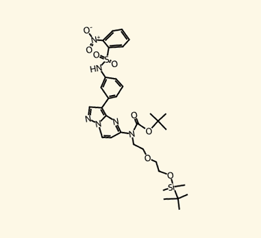 CC(C)(C)OC(=O)N(CCOCCO[Si](C)(C)C(C)(C)C)c1ccn2ncc(-c3cccc(NS(=O)(=O)c4ccccc4[N+](=O)[O-])c3)c2n1